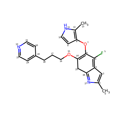 CC1=CC2=C(F)C(Oc3cc[nH]c3C)=C(OCCCc3ccncc3)CC2=N1